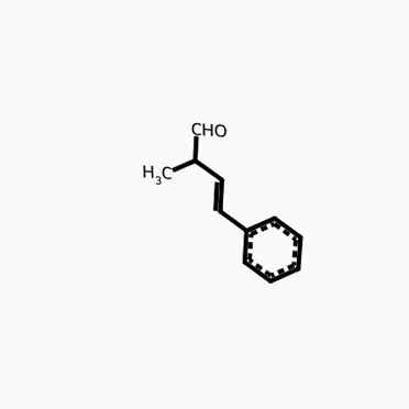 CC(C=O)C=Cc1ccccc1